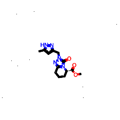 COC(=O)[C@@H]1CCCc2nn(Cc3cc(C)[nH]n3)c(=O)n21